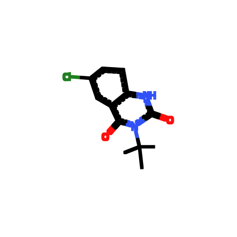 CC(C)(C)n1c(=O)[nH]c2ccc(Cl)cc2c1=O